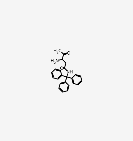 CC(=O)C(N)CC(=O)NC(c1ccccc1)(c1ccccc1)c1ccccc1